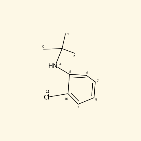 CC(C)(C)Nc1ccccc1Cl